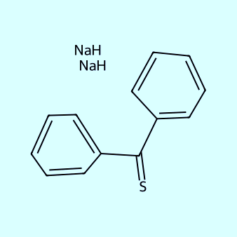 S=C(c1ccccc1)c1ccccc1.[NaH].[NaH]